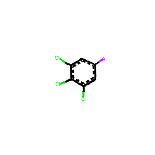 Clc1cc(I)cc(Cl)c1Cl